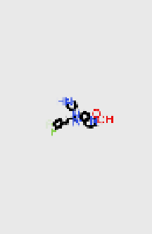 C[C@@H](Cc1ccc(F)c(F)c1)c1nc2c3c(ccc2n1C1CCNCC1)N(C(=O)O)[C@@H](C)CC3